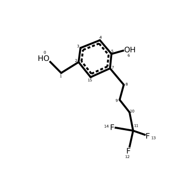 OCc1ccc(O)c(CCCC(F)(F)F)c1